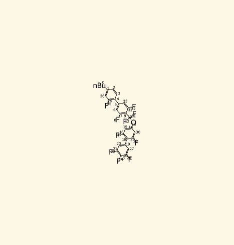 CCCCc1ccc(-c2cc(F)c(C(F)(F)Oc3cc(F)c(-c4cc(F)c(F)c(F)c4)c(F)c3)c(F)c2)c(F)c1